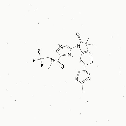 Cc1ncc(-c2ccc3c(c2)N(c2cncc(C(=O)N(C)CC(F)(F)F)n2)C(=O)C3(C)C)cn1